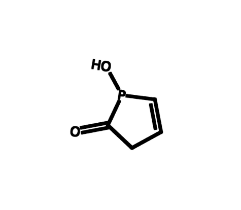 O=C1CC=CP1O